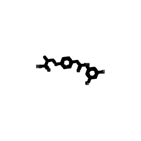 CC(COc1ccc(CC(=O)Nc2cc(Cl)cc(Cl)c2)cc1)C(=O)O